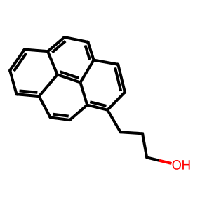 OCCCc1ccc2ccc3cccc4ccc1c2c34